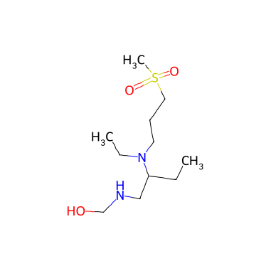 CCC(CNCO)N(CC)CCCS(C)(=O)=O